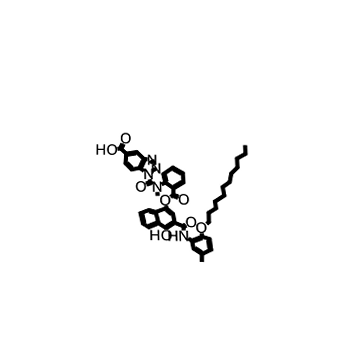 CCCCCCCCCCCCOc1ccc(C)cc1NC(=O)c1cc(OC(=O)c2ccccc2N(C)C(=O)n2nnc3cc(C(=O)O)ccc32)c2ccccc2c1O